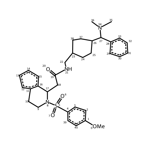 COc1ccc(S(=O)(=O)N2CCc3ccccc3C2CC(=O)NCC2CCC(C(c3ccccc3)N(C)C)CC2)cc1